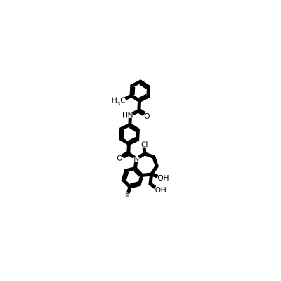 Cc1ccccc1C(=O)Nc1ccc(C(=O)N2c3ccc(F)cc3C(O)(CO)CCC2Cl)cc1